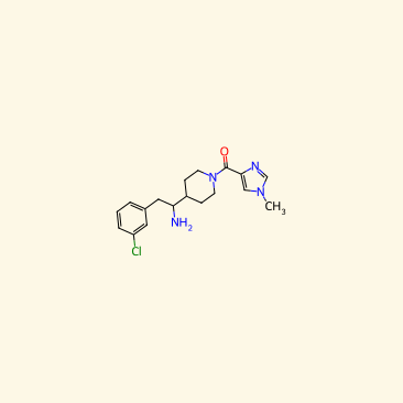 Cn1cnc(C(=O)N2CCC(C(N)Cc3cccc(Cl)c3)CC2)c1